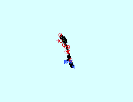 C[C@]12C[C@H](O)[C@@]3(F)[C@@H](CCC4=CC(=O)C=C[C@@]43C)[C@@H]1CC[C@@H]2C(=O)COC(=O)CCC(=O)OCCc1ccc(C(CN)C(=O)Nc2ccc3cnccc3c2)cc1